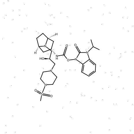 CC(C)n1c(=O)n(OC(=O)N[C@@H]2C[C@H]3CC[C@@H](C2)N3C[C@H](O)CN2CCN(S(C)(=O)=O)CC2)c2ccccc21